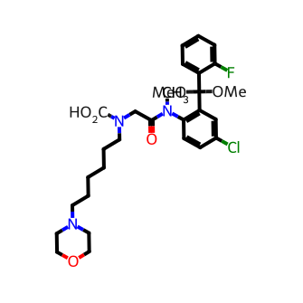 COC(OC)(c1ccccc1F)c1cc(Cl)ccc1N(C)C(=O)CN(CCCCCCN1CCOCC1)C(=O)O